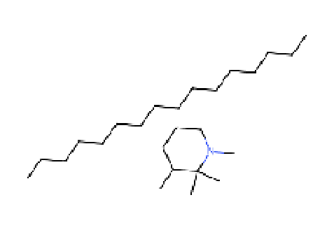 CC1CCCN(C)C1(C)C.CCCCCCCCCCCCCCCC